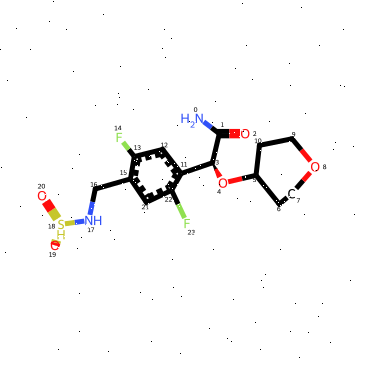 NC(=O)[C@@H](OC1CCOCC1)c1cc(F)c(CN[SH](=O)=O)cc1F